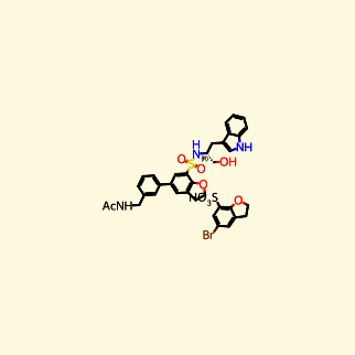 CC(=O)NCc1cccc(-c2cc3c(c(S(=O)(=O)N[C@@H](CO)Cc4c[nH]c5ccccc45)c2)OCC3)c1.O=S(=O)(O)c1cc(Br)cc2c1OCC2